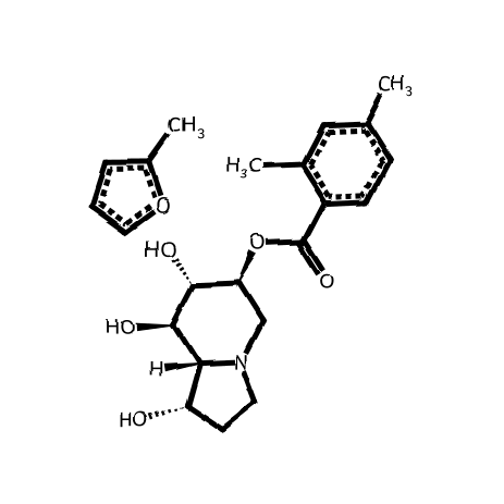 Cc1ccc(C(=O)O[C@H]2CN3CC[C@H](O)[C@@H]3[C@@H](O)[C@@H]2O)c(C)c1.Cc1ccco1